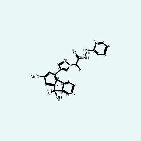 COc1cc(-c2cnn(C(C)C(=O)NNc3ccccn3)c2)c2c(c1)C(O)(C(F)(F)F)c1ccccc1-2